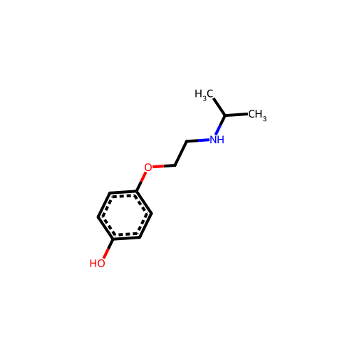 CC(C)NCCOc1ccc(O)cc1